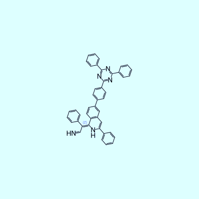 N=C/C(=C1\NC(c2ccccc2)=Cc2cc(-c3ccc(-c4nc(-c5ccccc5)nc(-c5ccccc5)n4)cc3)ccc21)c1ccccc1